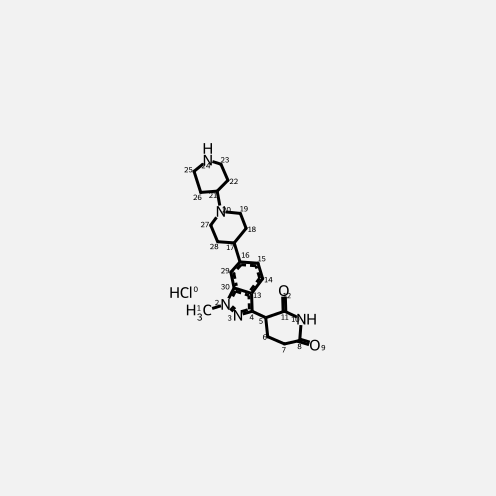 Cl.Cn1nc(C2CCC(=O)NC2=O)c2ccc(C3CCN(C4CCNCC4)CC3)cc21